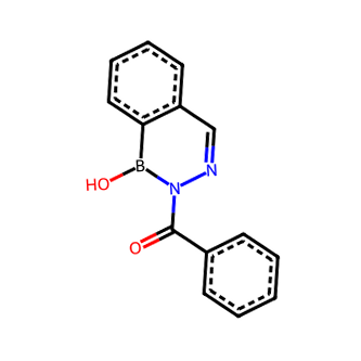 O=C(c1ccccc1)N1N=Cc2ccccc2B1O